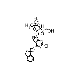 CC1(C)O[C@@H]2[C@H](O1)[C@@H](CO)O[C@H]2n1ncc2c(N3CC4(CCc5ccccc54)C3)nc(Cl)nc21